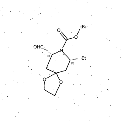 CC[C@@H]1CC2(C[C@H](C=O)N1C(=O)OC(C)(C)C)OCCO2